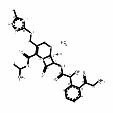 CC(=O)OC(C)OC(=O)C1=C(CSc2nnc(C)s2)CS[C@H]2C(NC(=O)C(O)c3ccccc3C(=O)CN)C(=O)N12.Cl